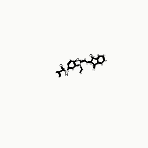 C=C(C)C(=O)Nc1ccc2c(c1)N(CC)C(=CC=C1C(=O)c3ccccc3C1=O)O2